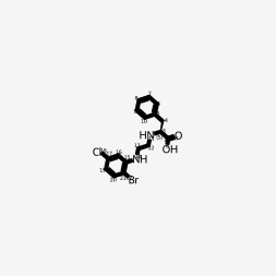 O=C(O)[C@H](Cc1ccccc1)NCCNc1cc(Cl)ccc1Br